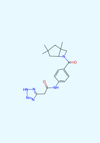 CC1(C)CC2N(C(=O)c3ccc(NC(=O)Cc4nn[nH]n4)cc3)CC2(C)C1